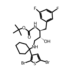 CC(C)(C)OC(=O)N[C@@H](Cc1cc(F)cc(F)c1)[C@H](O)CNC1(c2cc(Br)sc2Br)CCCCC1